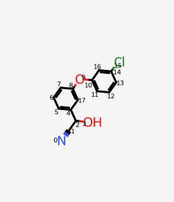 N#CC(O)c1cccc(Oc2cccc(Cl)c2)c1